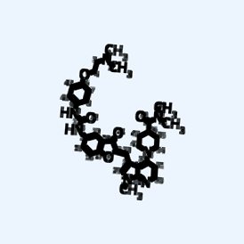 CN(C)CCOc1ccc(NC(=O)Nc2ccc3c(c2)C(=O)C(=Cc2cn(C)c4nccc(N5CCC(C(=O)N(C)C)CC5)c24)O3)cc1